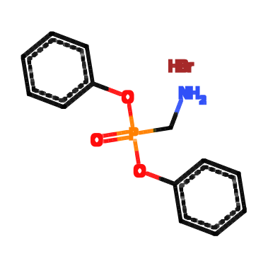 Br.NCP(=O)(Oc1ccccc1)Oc1ccccc1